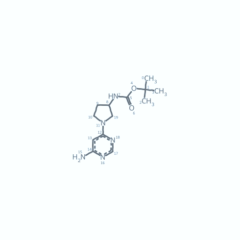 CC(C)(C)OC(=O)NC1CCN(c2cc(N)ncn2)C1